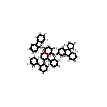 c1ccc(-c2ccccc2-c2ccccc2-c2ccccc2N(c2ccc(-n3c4ccccc4c4ccccc43)cc2)c2ccc3c(c2)-c2ccccc2C32CCCC2)cc1